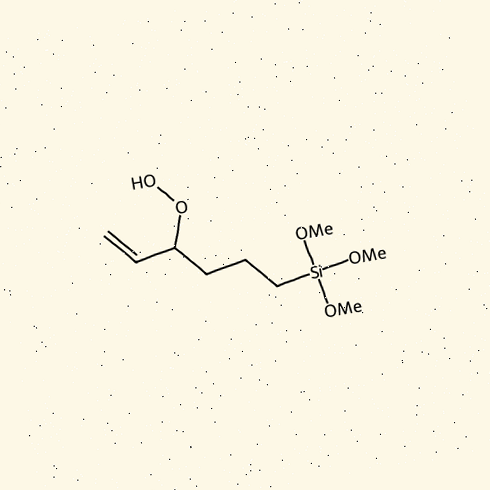 C=CC(CCC[Si](OC)(OC)OC)OO